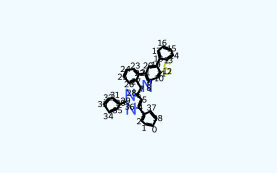 c1ccc(-c2cc(-c3nc4cc5sc6ccccc6c5cc4c4ccccc34)nc(-c3ccccc3)n2)cc1